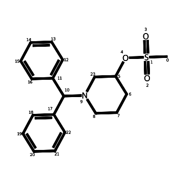 CS(=O)(=O)OC1CCCN(C(c2ccccc2)c2ccccc2)C1